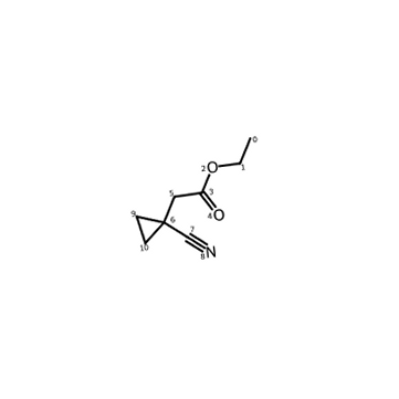 CCOC(=O)CC1(C#N)CC1